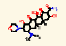 CN(C)C1CC(N2CCOCC2)C(O)=C2C(=O)C3C(O)[C@]4(O)C(=O)C(C(N)=O)=C(O)C[C@@H]4C[C@@H]3CC21